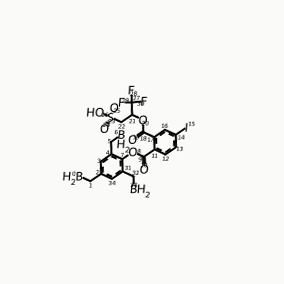 BCc1cc(CB)c(OC(=O)c2ccc(I)cc2C(=O)OC(CS(=O)(=O)O)C(F)(F)F)c(CB)c1